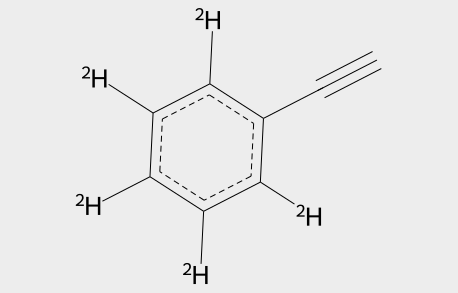 [2H]c1c([2H])c([2H])c(C#C)c([2H])c1[2H]